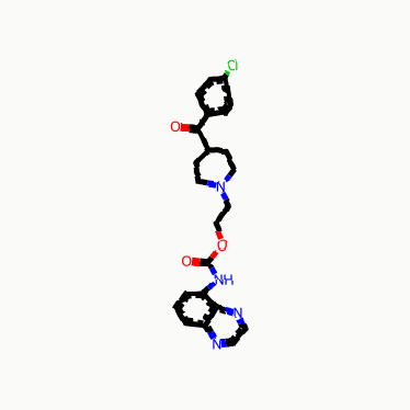 O=C(Nc1cccc2nccnc12)OCCN1CCC(C(=O)c2ccc(Cl)cc2)CC1